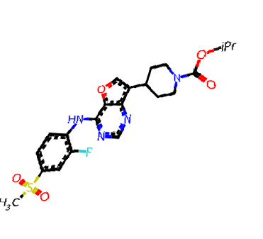 CC(C)OC(=O)N1CCC(c2coc3c(Nc4ccc(S(C)(=O)=O)cc4F)ncnc23)CC1